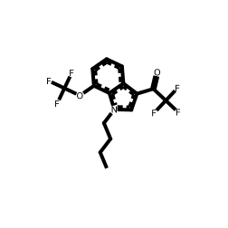 CCCCn1cc(C(=O)C(F)(F)F)c2cccc(OC(F)(F)F)c21